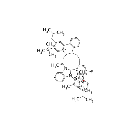 C=C1CC2C(CCc3cc(F)c4c(oc5cc(C(C)C)ccc54)c3C3N1c1ccccc1N3c1c(C)cc(C)cc1C)c1ccccc1-c1cc(CC(C)C)c([Si](C)(C)C)c[n+]12